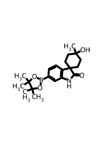 CC1(O)CCC2(CC1)C(=O)Nc1cc(B3OC(C)(C)C(C)(C)O3)ccc12